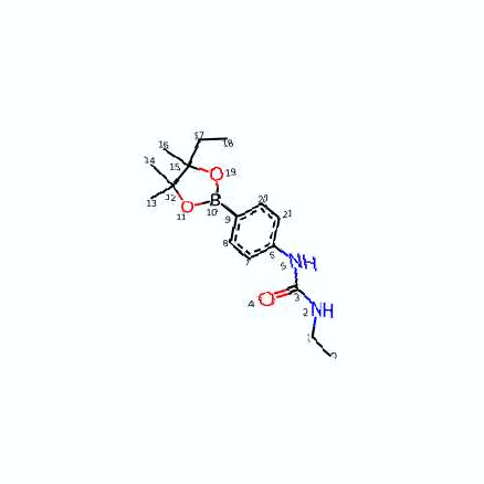 CCNC(=O)Nc1ccc(B2OC(C)(C)C(C)(CC)O2)cc1